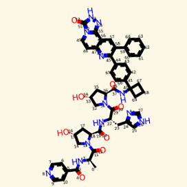 C[C@@H](NC(=O)c1ccncc1)C(=O)N1C[C@H](O)C[C@H]1C(=O)N[C@@H](Cc1c[nH]cn1)C(=O)N1C[C@H](O)C[C@H]1C(=O)NC1(c2ccc(-c3nc4ccn5c(=O)[nH]nc5c4cc3-c3ccccc3)cc2)CCC1